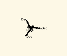 CCCCCCCCCCCCCCCCCCNC(=O)c1nc(C(=O)NCCCCCCCCCCCCCCCCCC)nc(C(=O)NCCCCCCCCCCCCCCCCCC)n1